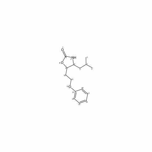 CC(C)CC1NC(=O)OC1CCOc1ccccc1